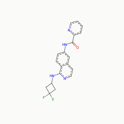 O=C(Nc1ccc2c(NC3CC(F)(F)C3)nccc2c1)c1ccccn1